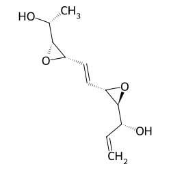 C=C[C@@H](O)[C@@H]1O[C@H]1/C=C/[C@@H]1O[C@@H]1[C@@H](C)O